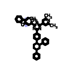 C=C(/C=c1/oc2ccccc2/c1=C/C)c1nc(-c2ccc(C3CCC(c4ccccc4)CC3c3ccccc3)cc2)nc(-c2cc(C)nc(C)c2)n1